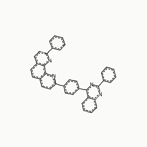 c1ccc(-c2ccc3ccc4ccc(-c5ccc(-c6nc(-c7ccccc7)nc7ccccc67)cc5)nc4c3n2)cc1